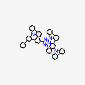 c1ccc(-c2ccc(-n3c4ccccc4c4ccccc43)c(-c3ccc(-c4nc(-c5ccccc5)nc(-n5c6ccccc6c6cccc(-c7cccc(-n8c9ccccc9c9ccccc98)c7)c65)n4)cc3)c2)cc1